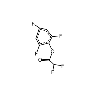 O=C(Oc1c(F)cc(F)cc1F)C(F)F